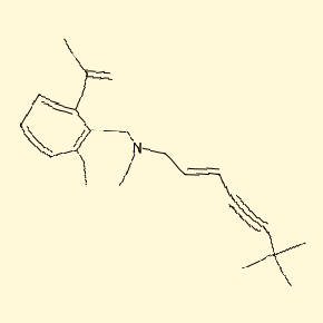 C=C(C)c1cccc(C)c1CN(C)CC=CC#CC(C)(C)C